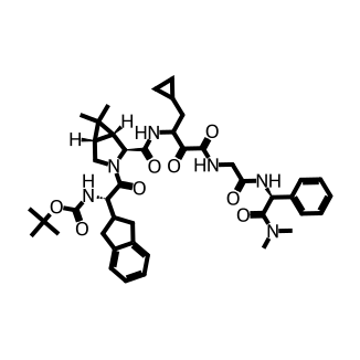 CN(C)C(=O)[C@@H](NC(=O)CNC(=O)C(=O)C(CC1CC1)NC(=O)[C@@H]1[C@@H]2[C@H](CN1C(=O)[C@@H](NC(=O)OC(C)(C)C)C1Cc3ccccc3C1)C2(C)C)c1ccccc1